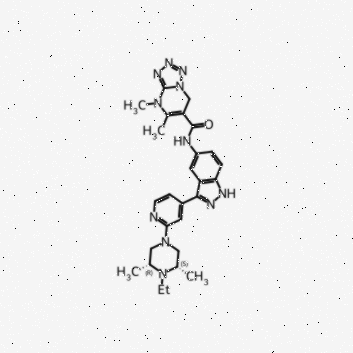 CCN1[C@H](C)CN(c2cc(-c3n[nH]c4ccc(NC(=O)C5=C(C)N(C)c6nnnn6C5)cc34)ccn2)C[C@@H]1C